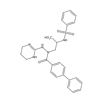 O=C(O)C(CN(NC1=NCCCN1)C(=O)c1ccc(-c2ccccc2)cc1)NS(=O)(=O)c1ccccc1